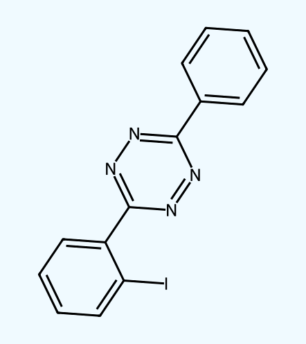 Ic1ccccc1-c1nnc(-c2ccccc2)nn1